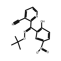 CC(C)(C)ON=C(c1cc([N+](=O)[O-])ccc1O)c1ncccc1C#N